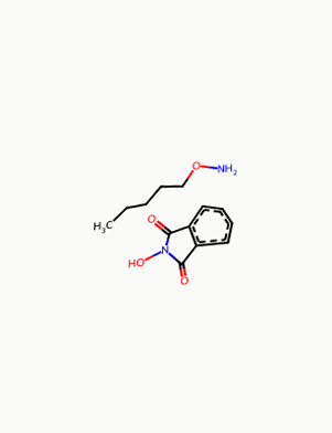 CCCCCON.O=C1c2ccccc2C(=O)N1O